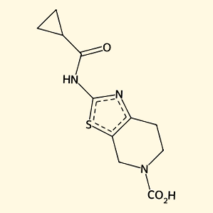 O=C(Nc1nc2c(s1)CN(C(=O)O)CC2)C1CC1